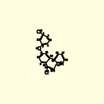 Clc1cccc(Oc2ccc3c(Cl)nc4ncccc4c3c2)c1